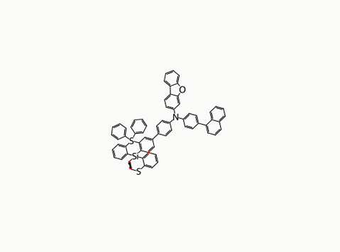 c1ccc(S2(c3ccccc3)c3ccccc3[Si]3(c4ccccc4Sc4ccccc43)c3ccc(-c4ccc(N(c5ccc(-c6cccc7ccccc67)cc5)c5ccc6c(c5)oc5ccccc56)cc4)cc32)cc1